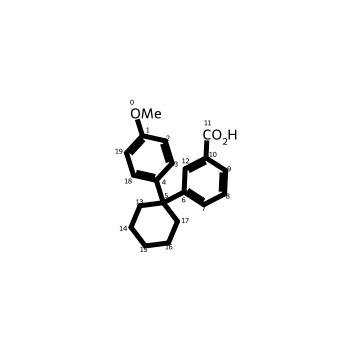 COc1ccc(C2(c3cccc(C(=O)O)c3)CCCCC2)cc1